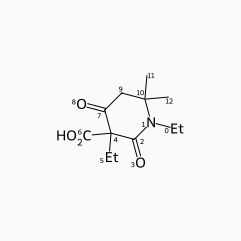 CCN1C(=O)C(CC)(C(=O)O)C(=O)CC1(C)C